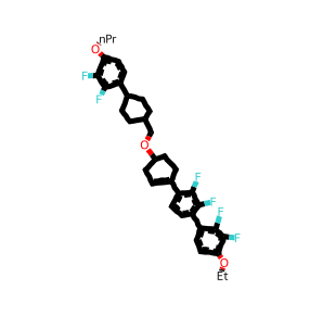 CCCOc1ccc(C2CCC(COC3CC=C(c4ccc(-c5ccc(OCC)c(F)c5F)c(F)c4F)CC3)CC2)c(F)c1F